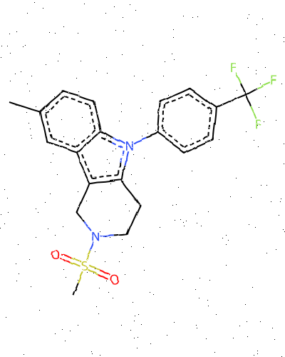 Cc1ccc2c(c1)c1c(n2-c2ccc(C(F)(F)F)cc2)CCN(S(C)(=O)=O)C1